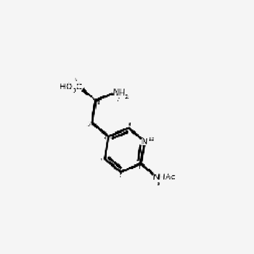 CC(=O)Nc1ccc(C[C@H](N)C(=O)O)cn1